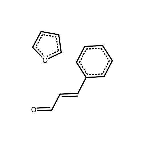 O=CC=Cc1ccccc1.c1ccoc1